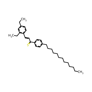 CCCCCCCCCCCCCc1ccc(C(=S)C=Cc2ccc(CC)cc2CC)cc1